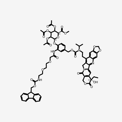 CC[C@@]1(O)C(=O)OCc2c1cc1n(c2=O)Cc2c-1nc1cc3c(cc1c2CCN(C(=O)OCc1ccc(O[C@@H]2O[C@H](C(=O)OC)C(OC(C)=O)C(OC(C)=O)C2OC(C)=O)c(NC(=O)COCCOCCNC(=O)OCC2c4ccccc4-c4ccccc42)c1)C(C)C)OCO3